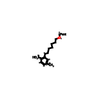 CCCCCOCCCCCCCc1cc(C)ccc1S(=O)(=O)O